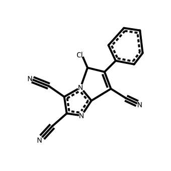 N#CC1=C(c2ccccc2)C(Cl)n2c1nc(C#N)c2C#N